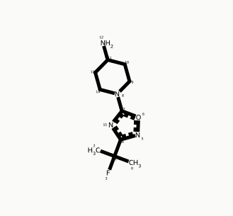 CC(C)(F)c1noc(N2CCC(N)CC2)n1